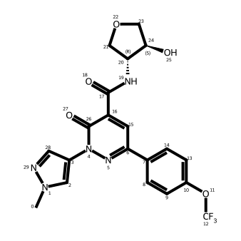 Cn1cc(-n2nc(-c3ccc(OC(F)(F)F)cc3)cc(C(=O)N[C@@H]3COC[C@H]3O)c2=O)cn1